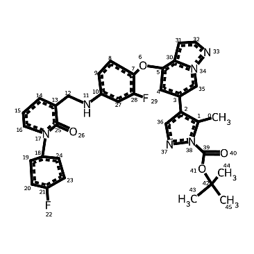 Cc1c(-c2cc(Oc3ccc(NCc4cccn(-c5ccc(F)cc5)c4=O)cc3F)c3ccnn3c2)cnn1C(=O)OC(C)(C)C